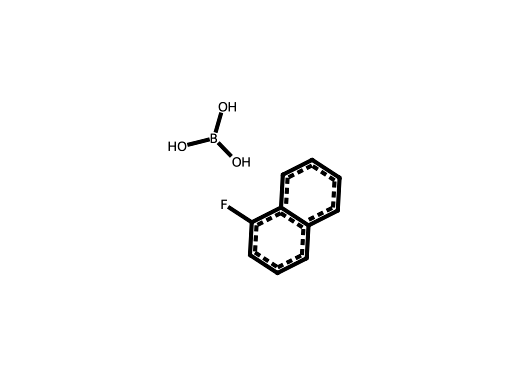 Fc1cccc2ccccc12.OB(O)O